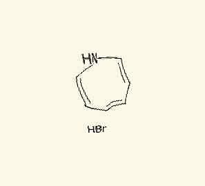 Br.C1=CC=CNC=C1